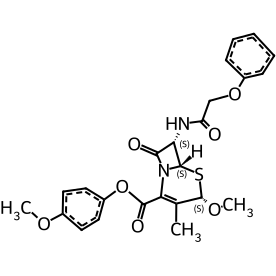 COc1ccc(OC(=O)C2=C(C)[C@@H](OC)S[C@H]3[C@@H](NC(=O)COc4ccccc4)C(=O)N23)cc1